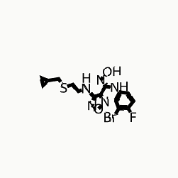 O/N=C(\Nc1ccc(F)c(Br)c1)c1nonc1NCCSCC1CC1